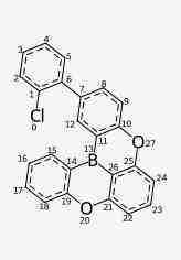 Clc1ccccc1-c1ccc2c(c1)B1c3ccccc3Oc3cccc(c31)O2